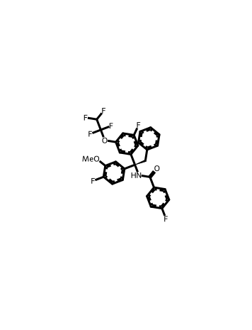 COc1cc([C@@](Cc2ccccc2)(NC(=O)c2ccc(F)cc2)c2cc(F)cc(OC(F)(F)C(F)F)c2)ccc1F